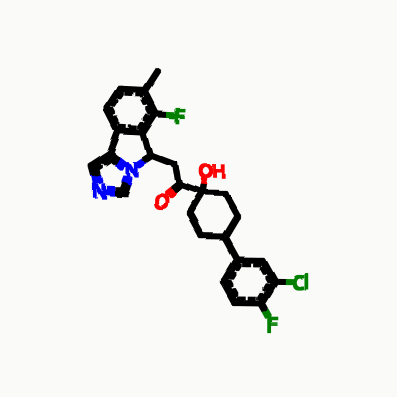 Cc1ccc2c(c1F)C(CC(=O)C1(O)CCC(c3ccc(F)c(Cl)c3)CC1)n1cncc1-2